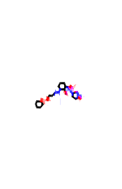 O=C1CCC(N2C(=O)C3CCCC(NCCCC(=O)OC4CCCCC4)C3C2=O)C(=O)N1